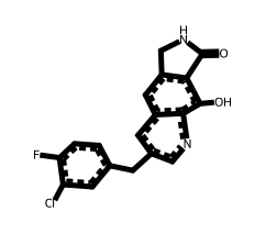 O=C1NCc2cc3cc(Cc4ccc(F)c(Cl)c4)cnc3c(O)c21